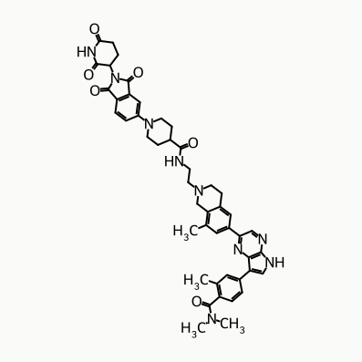 Cc1cc(-c2c[nH]c3ncc(-c4cc(C)c5c(c4)CCN(CCNC(=O)C4CCN(c6ccc7c(c6)C(=O)N(C6CCC(=O)NC6=O)C7=O)CC4)C5)nc23)ccc1C(=O)N(C)C